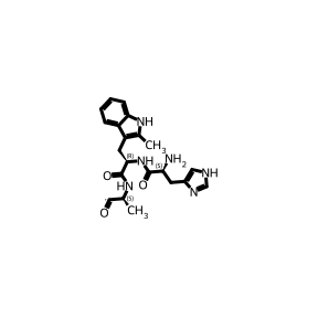 Cc1[nH]c2ccccc2c1C[C@@H](NC(=O)[C@@H](N)Cc1c[nH]cn1)C(=O)N[C@@H](C)[C]=O